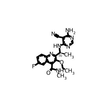 CCOc1c([C@H](C)Nc2ncnc(N)c2C#N)nc2ccc(F)cc2c1C(=O)NC